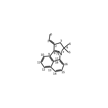 C/C=C1\CC(C)(C)[N+]2=C1c1cccc3cccc2c13